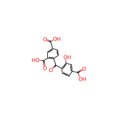 O=C(O)c1ccc(C(=O)c2ccc(C(=O)O)cc2C(=O)O)c(O)c1